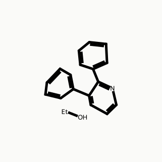 CCO.c1ccc(-c2cccnc2-c2ccccc2)cc1